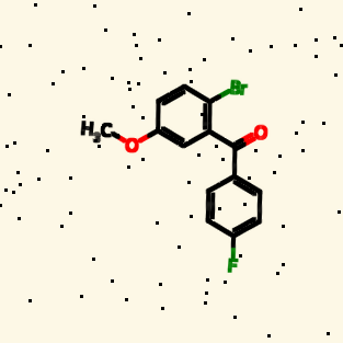 COc1ccc(Br)c(C(=O)c2ccc(F)cc2)c1